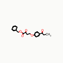 CCC(=O)c1ccc(OCCC(=O)C(=O)OCc2ccccc2)cc1